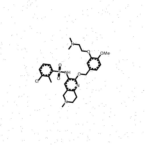 COc1ccc(COc2nc3c(cc2NS(=O)(=O)c2cccc(Cl)c2C)CN(C)CC3)cc1OCCN(C)C